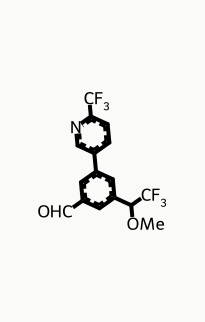 COC(c1cc(C=O)cc(-c2ccc(C(F)(F)F)nc2)c1)C(F)(F)F